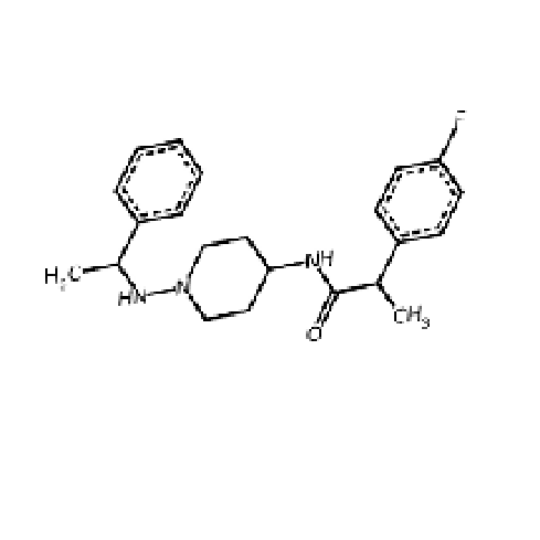 CC(NN1CCC(NC(=O)C(C)c2ccc(F)cc2)CC1)c1ccccc1